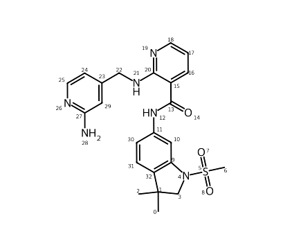 CC1(C)CN(S(C)(=O)=O)c2cc(NC(=O)c3cccnc3NCc3ccnc(N)c3)ccc21